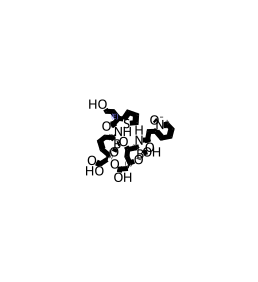 O=C(O)C[C@@H]1CC(OB2O[C@@H](CC(=O)O)C=CC[C@@H]2NC(=O)/C(=C\CO)c2cccs2)[C@H](NC(=O)Cc2cccc[n+]2[O-])B(O)O1